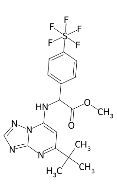 COC(=O)C(Nc1cc(C(C)(C)C)nc2ncnn12)c1ccc(S(F)(F)(F)(F)F)cc1